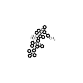 Cc1ccc(-c2cc(N(c3cccc4ccccc34)c3cc4c(c5ccccc35)-c3ccc(N(c5cccc6ccccc56)c5cc(-c6ccc([Si](c7ccccc7)(c7ccccc7)c7ccccc7)cc6)cc6c5oc5ccccc56)cc3C4(C)C)c3oc4ccccc4c3c2)cc1